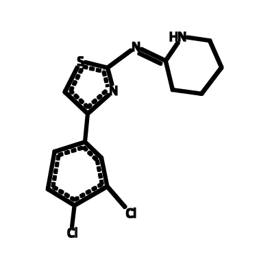 Clc1ccc(-c2csc(N=C3CCCCN3)n2)cc1Cl